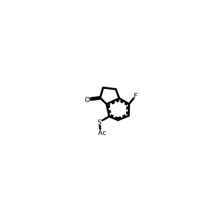 CC(=O)Sc1ccc(F)c2c1C(=O)CC2